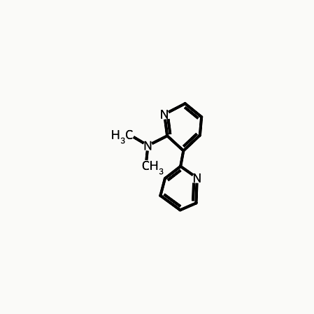 CN(C)c1ncccc1-c1ccccn1